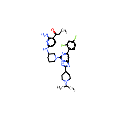 CCC(=O)c1ccc(NC2CCCN(c3nc(-c4ccc(F)cc4F)cc4nc(C5CCN(C(C)C)CC5)nn34)C2)nc1N